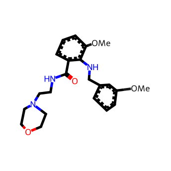 COc1cccc(CNc2c(OC)cccc2C(=O)NCCN2CCOCC2)c1